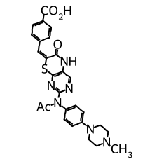 CC(=O)N(c1ccc(N2CCN(C)CC2)cc1)c1ncc2c(n1)SC(=Cc1ccc(C(=O)O)cc1)C(=O)N2